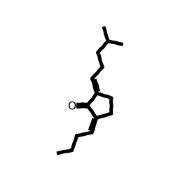 CCCC=C1CCC(=CCCC(C)C)C1=O